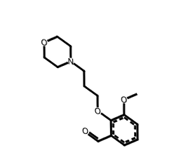 COc1cccc(C=O)c1OCCCN1CCOCC1